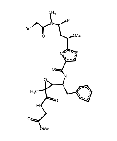 CC[C@H](C)CC(=O)N(C)[C@H](C[C@@H](OC(C)=O)c1nc(C(=O)N[C@@H](Cc2ccccc2)C2OC2(C)C(=O)NCC(=O)OC)cs1)C(C)C